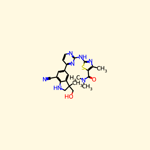 Cc1nc(Nc2nccc(-c3cc(C#N)c4c(c3)C(C)(CO)CN4)n2)sc1C(=O)N(C)C